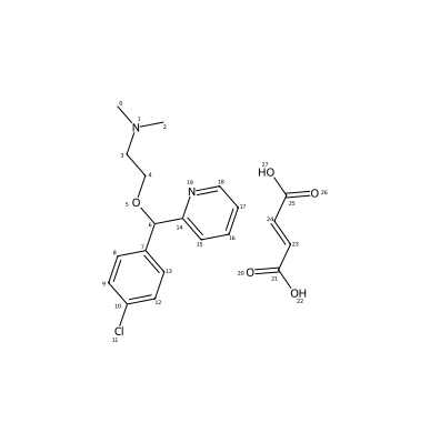 CN(C)CCOC(c1ccc(Cl)cc1)c1ccccn1.O=C(O)C=CC(=O)O